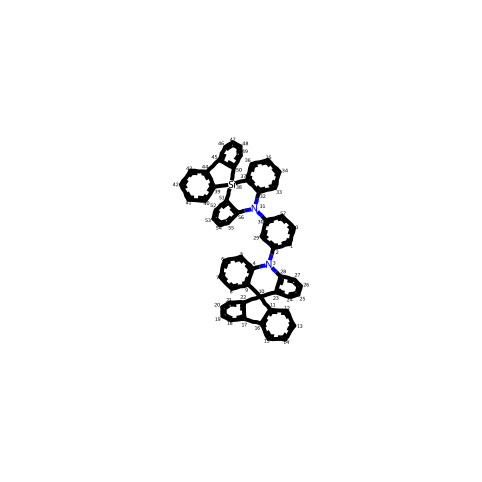 c1cc(N2c3ccccc3C3(c4ccccc4-c4ccccc43)c3ccccc32)cc(N2c3ccccc3[Si]3(c4ccccc4-c4ccccc43)c3ccccc32)c1